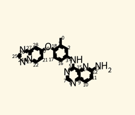 Cc1cc(Nc2ncnc3ccc(N)nc23)ccc1Oc1ccn2ncnc2c1